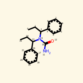 CCC(c1ccccc1)N(C(N)=O)C(CC)c1ccccc1